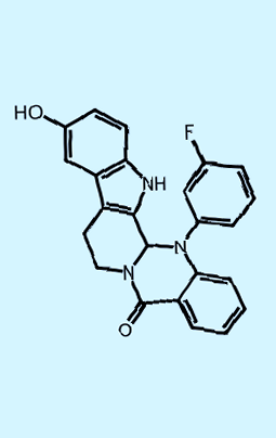 O=C1c2ccccc2N(c2cccc(F)c2)C2c3[nH]c4ccc(O)cc4c3CCN12